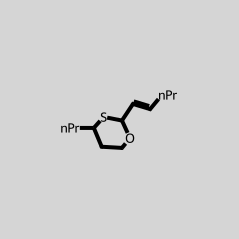 CCCC=CC1OCCC(CCC)S1